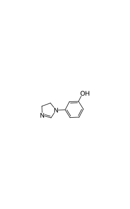 Oc1cccc(N2C=NCC2)c1